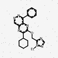 CCn1ncnc1COc1nc2c(-c3ccccc3)nncc2nc1C1CCCCC1